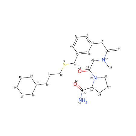 C=C(Cc1cccc(CSCCCC2CCCCC2)c1)N(C)CC(=O)N1CCCC1C(N)=O